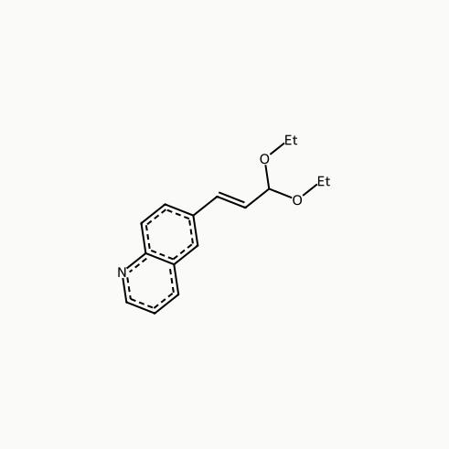 CCOC(C=Cc1ccc2ncccc2c1)OCC